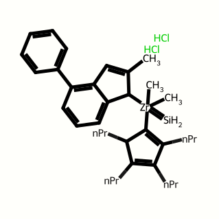 CCCC1=C(CCC)C(CCC)[C]([Zr]([CH3])([CH3])(=[SiH2])[CH]2C(C)=Cc3c(-c4ccccc4)cccc32)=C1CCC.Cl.Cl